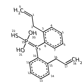 C=CCc1ccccc1S(c1ccccc1CC=C)=P(O)(O)S